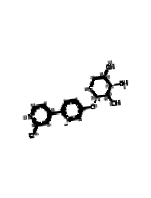 O[C@@H]1[C@@H](O)[C@H](Oc2ccc(-c3ccnc(Cl)c3)nc2)SC[C@H]1O